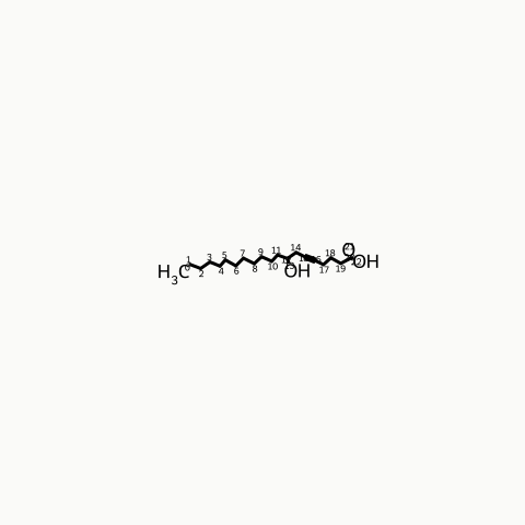 CCCCCCCCCCCCC(O)CC#CCCCC(=O)O